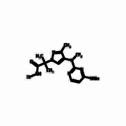 CCNC(=O)C(C)(C)n1cc(N(c2nccc(NC)n2)C(F)(F)F)c(C)n1